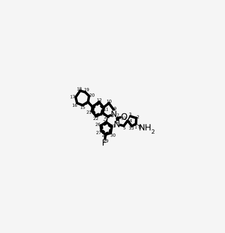 N[C@H]1CC[C@]2(CN=C(N3CCc4cc(C5CCCCCC5)ccc4[C@@H]3c3ccc(F)cc3)O2)C1